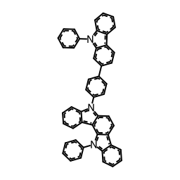 c1ccc(-n2c3ccccc3c3ccc(-c4ccc(-n5c6ccccc6c6c5ccc5c7ccccc7n(-c7ccccc7)c56)cc4)cc32)cc1